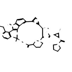 CCO[C@@H]1c2nc(cs2)-c2ccc3c(c2)c(c(-c2cccnc2[C@H](C)OC)n3CC)CC(C)(C)COC(=O)[C@@H]2CCCN(N2)C(=O)[C@H]1NC(=O)[C@@H]1[C@@H](C)[C@H]1C(=O)N1CCC[C@@H]1C